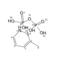 CC1=CC=CNS1.O=P(O)(O)OP(=O)(O)O